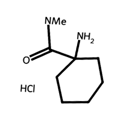 CNC(=O)C1(N)CCCCC1.Cl